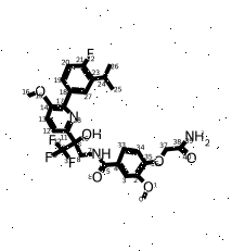 COc1cc(C(=O)NCC(O)(c2ccc(OC)c(-c3ccc(F)c(C(C)C)c3)n2)C(F)(F)F)ccc1OCC(N)=O